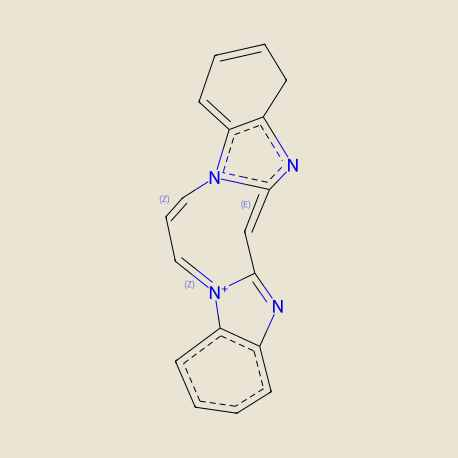 C1=CCc2n/c3n(c2=C1)/C=C\C=[N+]1/C(=Nc2ccccc21)/C=3